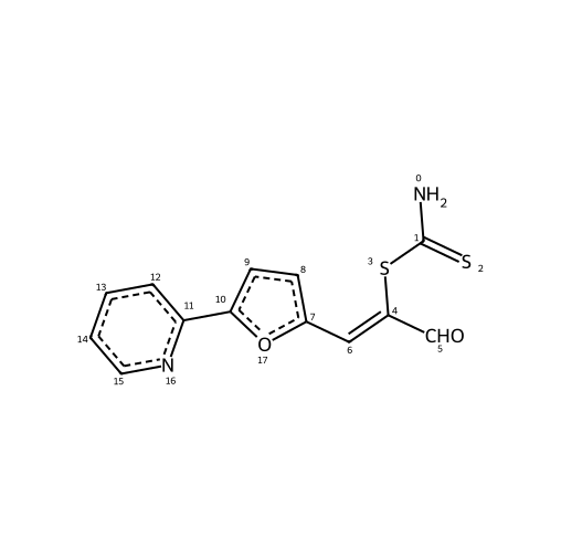 NC(=S)S/C(C=O)=C\c1ccc(-c2ccccn2)o1